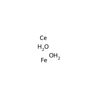 O.O.[Ce].[Fe]